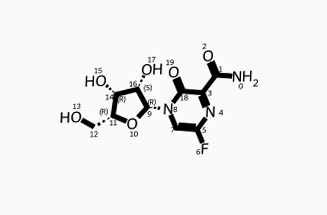 NC(=O)c1nc(F)cn([C@@H]2O[C@H](CO)[C@H](O)[C@@H]2O)c1=O